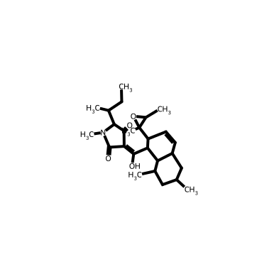 CCC(C)C1C(=O)/C(=C(/O)C2C3C(C)CC(C)CC3C=CC2C2(C)OC2C)C(=O)N1C